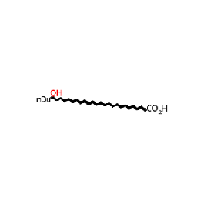 CCCCC(O)CCCCCCCCCCCCCCCCCCCCCCCC(=O)O